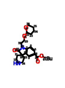 CC(C)(C)OC(=O)c1ccc2c(c1)C1(CCNCC1)C(=O)N2CCOC1CCCCO1